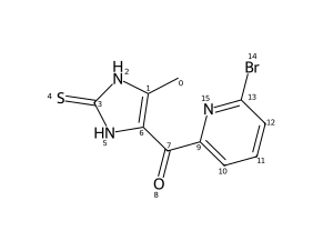 Cc1[nH]c(=S)[nH]c1C(=O)c1cccc(Br)n1